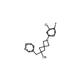 N#CC1(Cc2cccnc2)CC2(CN(c3ccc(F)c(Cl)c3)C2)C1